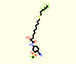 C[C@](O)(CCCCCCCCCSCCC(F)(F)C(F)(F)C(F)(F)F)C(=O)Nc1ccc(C#N)c(S(=O)(=O)C(F)(F)F)c1